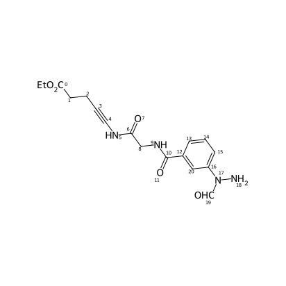 CCOC(=O)CCC#CNC(=O)CNC(=O)c1cccc(N(N)C=O)c1